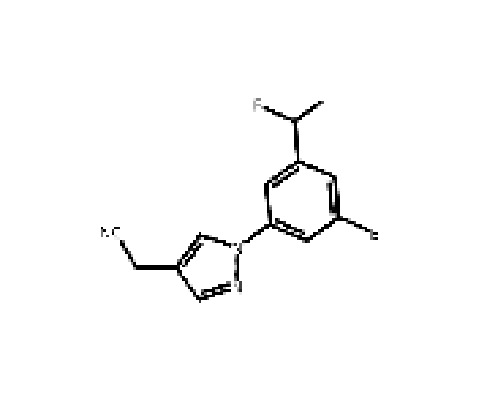 N#CCc1cnn(-c2cc(Br)cc(C(F)F)c2)c1